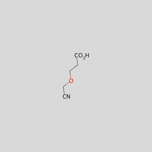 N#CCOCCC(=O)O